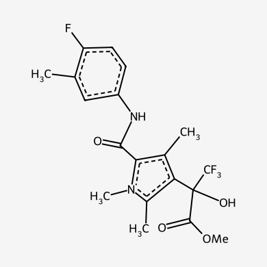 COC(=O)C(O)(c1c(C)c(C(=O)Nc2ccc(F)c(C)c2)n(C)c1C)C(F)(F)F